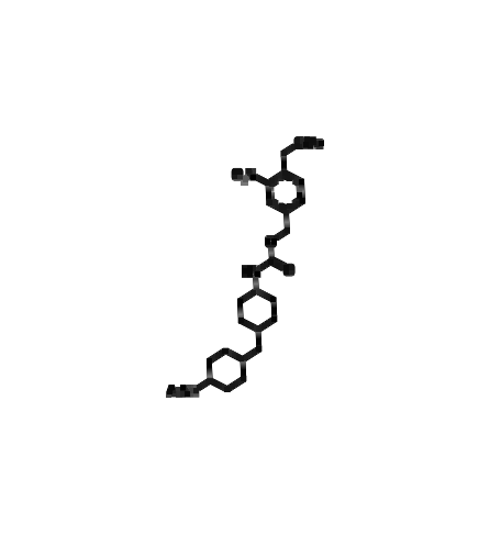 COCc1ccc(COC(=O)NC2CCC(CC3CCC(NC(C)=O)CC3)CC2)cc1[N+](=O)[O-]